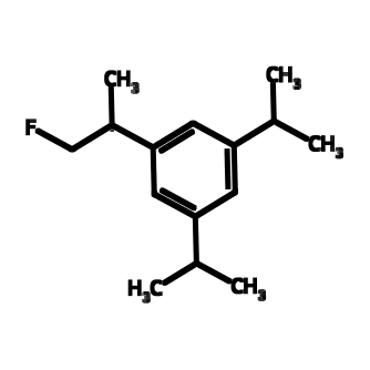 C[C](CF)c1cc(C(C)C)cc(C(C)C)c1